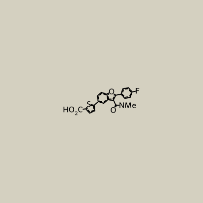 CNC(=O)c1c(-c2ccc(F)cc2)oc2ccc(-c3ccc(C(=O)O)s3)cc12